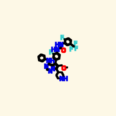 COCc1c(-c2ccc(NC(=O)Nc3cc(C(F)(F)F)ccc3F)c(F)c2)c2c(Nc3ccccc3)ncnn2c1C1CCNCC1